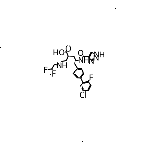 O=C(N[C@H](Cc1ccc(-c2cc(Cl)ccc2F)cc1)C[C@@H](CCNCC(F)F)C(=O)O)c1c[nH]nn1